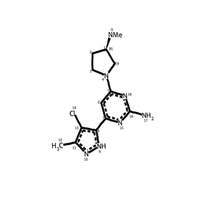 CN[C@@H]1CCN(c2cc(-c3[nH]nc(C)c3Cl)nc(N)n2)C1